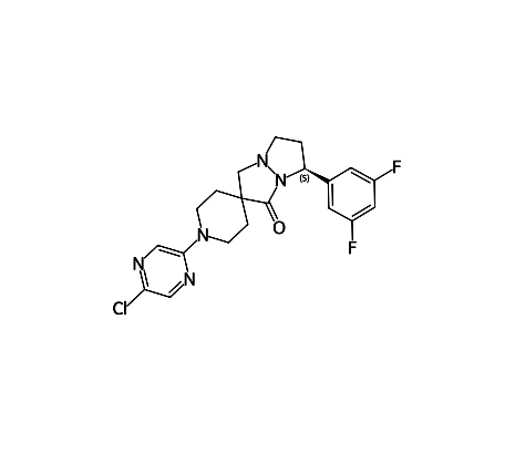 O=C1N2[C@H](c3cc(F)cc(F)c3)CCN2CC12CCN(c1cnc(Cl)cn1)CC2